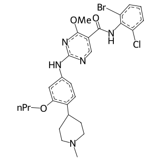 CCCOc1cc(Nc2ncc(C(=O)Nc3c(Cl)cccc3Br)c(OC)n2)ccc1C1CCN(C)CC1